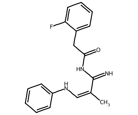 C/C(=C/Nc1ccccc1)C(=N)NC(=O)Cc1ccccc1F